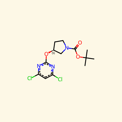 CC(C)(C)OC(=O)N1CC[C@H](Oc2nc(Cl)cc(Cl)n2)C1